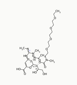 CCOCCOCCOCCOCCN(C)C(=O)O[C@@H]([C@H]1OC(C(=O)O)=C[C@@H](N/C(=N\C)NC)[C@@H]1NC(C)=O)[C@H](O)CO